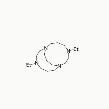 CCN1CCCN2CCCN(CCCN(CC)CC2)CC1